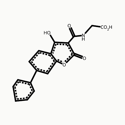 O=C(O)CNC(=O)c1c(O)c2ccc(-c3ccccc3)cc2oc1=O